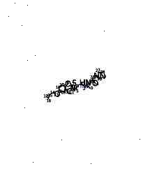 C[C@@H](/C=C/c1cnc(Oc2ccc(OCC3CC3)cc2Cl)s1)NC(=O)Cn1ccnc1